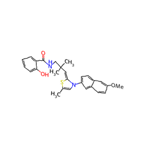 COc1ccc2cc(N3C=C(C)SC3=CC(C)(C)CNC(=O)c3ccccc3O)ccc2c1